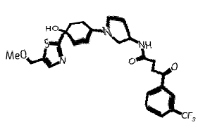 COCc1cnc(C2(O)CCC(N3CCC(NC(=O)CCC(=O)c4cccc(C(F)(F)F)c4)C3)CC2)s1